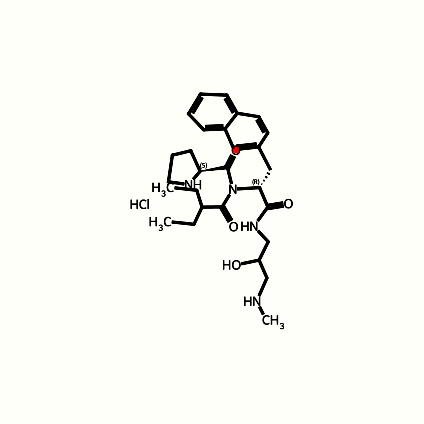 CCC(CC)C(=O)N(C(=O)[C@@H]1CCCN1)[C@H](Cc1ccc2ccccc2c1)C(=O)NCC(O)CNC.Cl